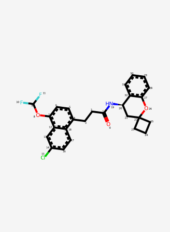 O=C(CCc1ccc(OC(F)F)c2cc(Cl)ccc12)N[C@@H]1CC2(CCC2)Oc2ccccc21